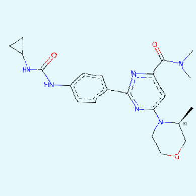 C[C@H]1COCCN1c1cc(C(=O)N(C)C)nc(-c2ccc(NC(=O)NC3CC3)cc2)n1